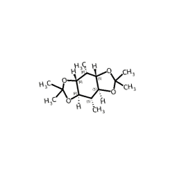 C[C@@H]1[C@H]2OC(C)(C)O[C@@H]2[C@H](C)[C@@H]2OC(C)(C)O[C@@H]12